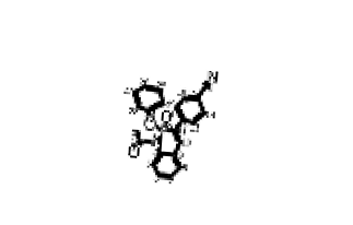 CC(=O)N1c2ccccc2C=C(c2ccc(C#N)cc2)P1(=O)Oc1ccccc1